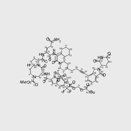 COC(=O)N1CC[C@H]2CC[C@@H](C(=O)N[C@@H](CCC(N)=O)C(=O)N[C@H](C(=O)N3CCC(CCC#Cc4cccc5c4CN(C4CCC(=O)NC4=O)C5=O)CC3)C3CCCCC3)N2C(=O)[C@@H](NC(=O)c2cc3cc(C(F)(F)P(=O)(OCOC(=O)C(C)(C)C)OCOC(=O)C(C)(C)C)ccc3s2)C1